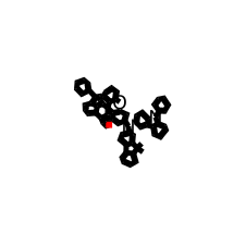 CC1(C)c2ccccc2-c2ccc(N(c3ccc4c(c3)Oc3ccccc3C43c4ccccc4-c4cccc5c(-c6ccccc6)ccc3c45)c3ccc4c(c3)c3ccccc3n4-c3ccccc3)cc21